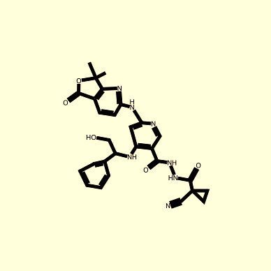 CC1(C)OC(=O)c2ccc(Nc3cc(NC(CO)c4ccccc4)c(C(=O)NNC(=O)C4(C#N)CC4)cn3)nc21